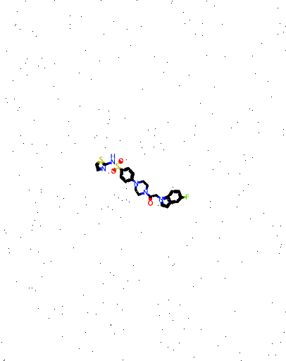 O=C(Cn1ccc2cc(F)ccc21)N1CCN(c2ccc(S(=O)(=O)Nc3nccs3)cc2)CC1